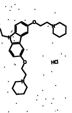 CCn1c2ccc(OCCN3CCCCC3)cc2c2cc(OCCN3CCCCC3)ccc21.Cl